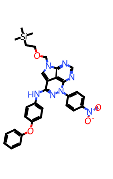 C[Si](C)(C)CCOCn1cc2c3c(ncnc31)N(c1ccc([N+](=O)[O-])cc1)N=C2Nc1ccc(Oc2ccccc2)cc1